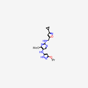 COc1nc(NCc2cc(C3CC3)no2)ncc1Nc1cc(OC(C)C)n[nH]1